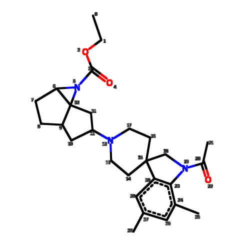 CCOC(=O)N1C2CCC3CC(N4CCC5(CC4)CN(C(C)=O)c4c(C)cc(C)cc45)CC321